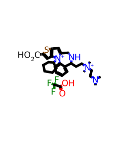 CN(C)CC[N+](C)(C)CCC1NCC2=Cc3sc(C(=O)O)cc3[N+]2(C2CCCCC2)c2ccccc21.O=C(O)C(F)(F)F